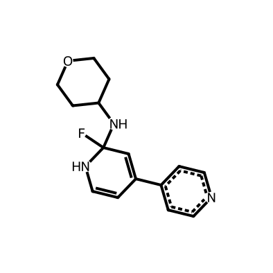 FC1(NC2CCOCC2)C=C(c2ccncc2)C=CN1